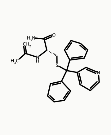 C=C(C)N[C@@H](CSC(c1ccccc1)(c1ccccc1)c1cccnc1)C(N)=O